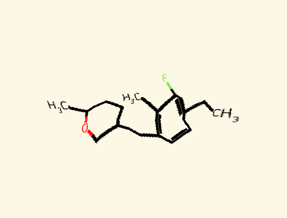 CCc1ccc(CC2CCC(C)OC2)c(C)c1F